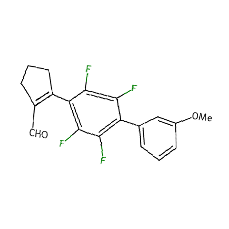 COc1cccc(-c2c(F)c(F)c(C3=C(C=O)CCC3)c(F)c2F)c1